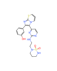 O=S1(=O)NCCCN1CCNc1nccc(-c2c(-c3cccc(O)c3)nc3n2C=C=CS3)n1